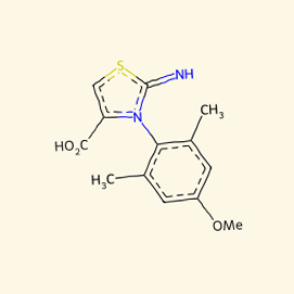 COc1cc(C)c(-n2c(C(=O)O)csc2=N)c(C)c1